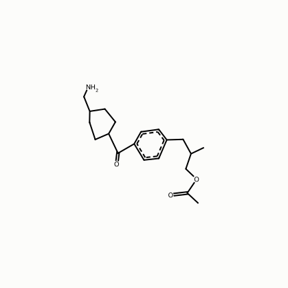 CC(=O)OCC(C)Cc1ccc(C(=O)C2CCC(CN)CC2)cc1